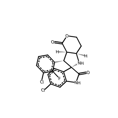 O=C1OCC[C@H]2N[C@@]3(C(=O)Nc4cc(Cl)ccc43)[C@H](c3cccc(Cl)c3F)[C@@H]12